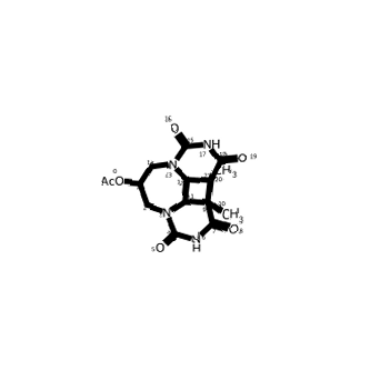 CC(=O)OC1CN2C(=O)NC(=O)C3(C)C2C2N(C1)C(=O)NC(=O)C23C